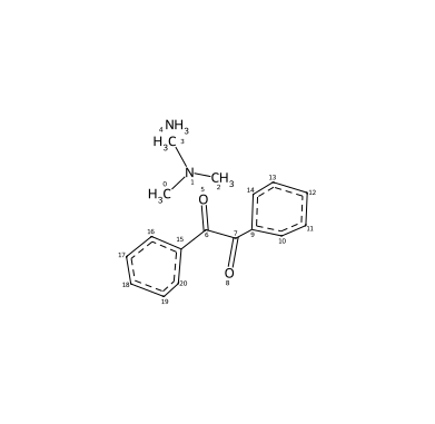 CN(C)C.N.O=C(C(=O)c1ccccc1)c1ccccc1